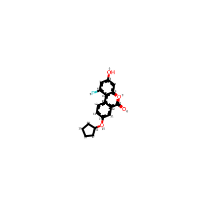 O=c1oc2cc(O)cc(F)c2c2ccc(OC3CCCC3)cc12